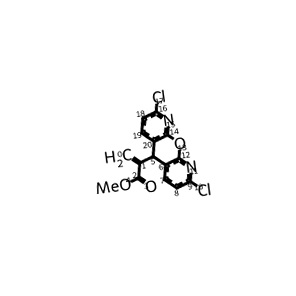 C=C(C(=O)OC)C1c2ccc(Cl)nc2Oc2nc(Cl)ccc21